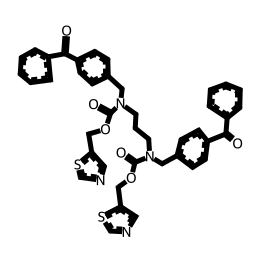 O=C(c1ccccc1)c1ccc(CN(CCCN(Cc2ccc(C(=O)c3ccccc3)cc2)C(=O)OCc2cncs2)C(=O)OCc2cncs2)cc1